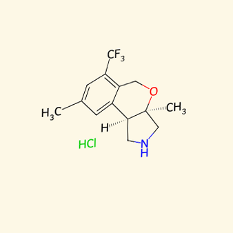 Cc1cc2c(c(C(F)(F)F)c1)CO[C@@]1(C)CNC[C@@H]21.Cl